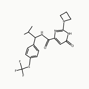 CC(C)C(NC(=O)c1cc(=O)[nH]c(N2CCC2)n1)c1ccc(SC(F)(F)F)cc1